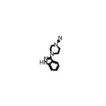 N#CN1CCN(c2n[nH]c3ccccc23)CC1